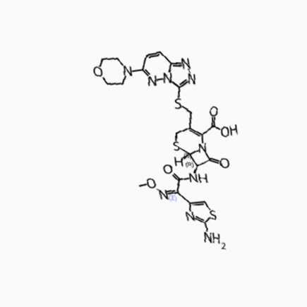 CO/N=C(\C(=O)N[C@@H]1C(=O)N2C(C(=O)O)=C(CSc3nnc4ccc(N5CCOCC5)nn34)CS[C@@H]12)c1csc(N)n1